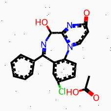 CC(=O)O.O=c1ccn2c(n1)C(O)N=C(c1ccccc1)c1cc(Cl)ccc1-2